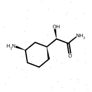 NC(=O)[C@H](O)[C@H]1CCC[C@@H](N)C1